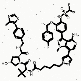 Cc1ncsc1-c1ccc(CNC(=O)[C@@H]2C[C@@H](O)CN2C(=O)[C@@H](NC(=O)CCCCCn2cc(-c3cnc(N)c4c(-c5ccc(NS(=O)(=O)C(F)F)c(O[C@@H](C)c6ccc(F)cc6)c5)nn(C)c34)cn2)C(C)(C)C)cc1